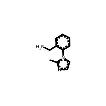 Cc1nccn1-c1ccccc1CN